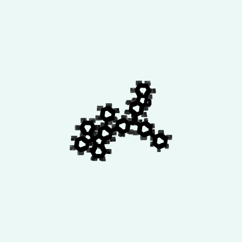 c1ccc(-c2ccc(N(c3ccc(-c4cc5c(cc4-c4ccccc4)C(c4ccccc4)(c4ccccc4)c4ccccc4-5)cc3)c3ccc4c(c3)oc3ccccc34)cc2)cc1